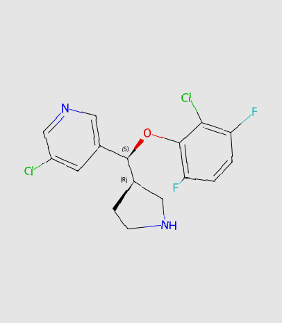 Fc1ccc(F)c(O[C@H](c2cncc(Cl)c2)[C@@H]2CCNC2)c1Cl